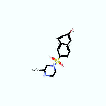 CCOC(=O)C1CN(S(=O)(=O)c2ccc3cc(Br)ccc3c2)CCN1